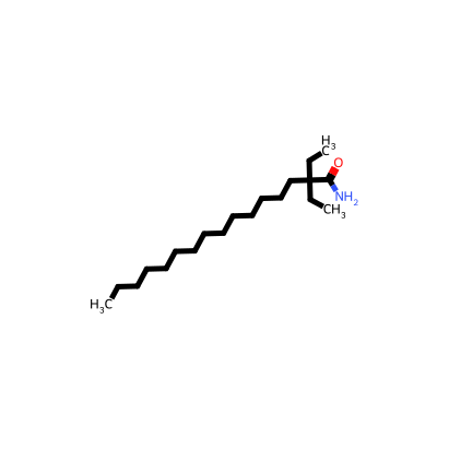 CCCCCCCCCCCCCCC(CC)(CC)C(N)=O